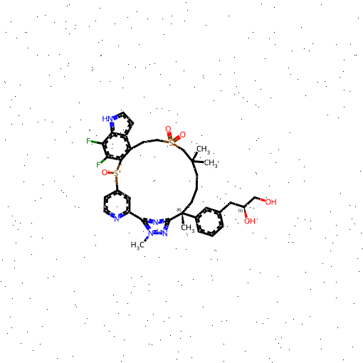 Cn1nc2nc1-c1cc(ccn1)[S+]([O-])c1c(F)c(F)c3[nH]ccc3c1CCS(=O)(=O)CC(C)(C)CCC[C@]2(C)c1cccc(C[C@H](O)CO)c1